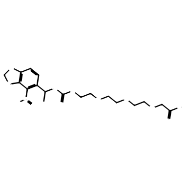 CC(OC(=O)OCCOCCOCCOCC(=O)O)c1ccc2c(c1[N+](=O)[O-])OCO2